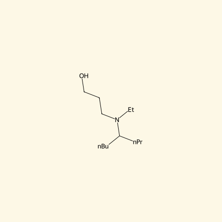 CCCCC(CCC)N(CC)CCCO